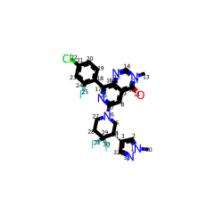 Cn1cc([C@H]2CN(c3cc4c(=O)n(C)cnc4c(-c4ccc(Cl)cc4F)n3)CCC2(F)F)cn1